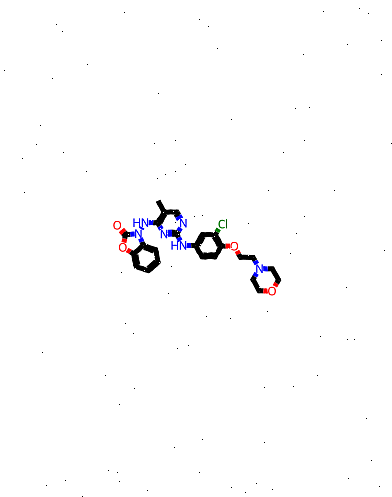 Cc1cnc(Nc2ccc(OCCN3CCOCC3)c(Cl)c2)nc1Nn1c(=O)oc2ccccc21